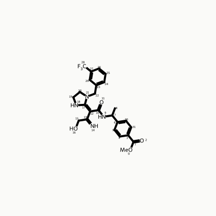 COC(=O)c1ccc(C(C)NC(=O)/C(C(=N)CO)=C2/NCCN2Cc2cccc(C(F)(F)F)c2)cc1